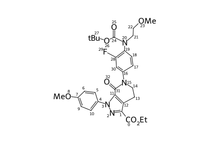 CCOC(=O)c1nn(-c2ccc(OC)cc2)c2c1CCN(c1ccc(N(CCOC)C(=O)OC(C)(C)C)c(F)c1)C2=O